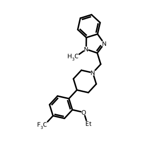 CCOc1cc(C(F)(F)F)ccc1C1CCN(Cc2nc3ccccc3n2C)CC1